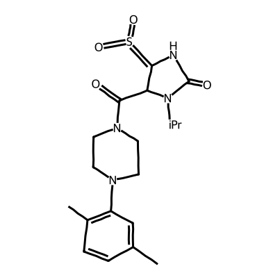 Cc1ccc(C)c(N2CCN(C(=O)C3C(=S(=O)=O)NC(=O)N3C(C)C)CC2)c1